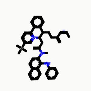 C=C(/C=C\C)CCC1c2ccccc2-c2ccc([Si](C)(C)C)c[n+]2C1CC(=C)N(C)c1ccc2ccccc2c1Nc1ccccc1